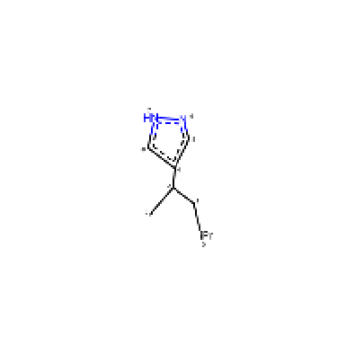 CC(C)CC(C)c1cn[nH]c1